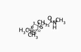 CNC(=O)CCSC1(C)CC2CC1CC2(C)C